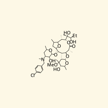 CC[C@@H](O)[C@@](C)(O)[C@@H]1OC(=O)[C@H](C)[C@@H](O[C@H]2CC(C)(OC)[C@@H](O)C(C)O2)[C@H](C)[C@H](O[C@@H]2OC(C)CC(N(C)Cc3ccc(Cl)cc3)C2O)[C@@]2(C)CC(C)C(O2)[C@@H]1C